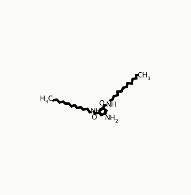 CCCCCCCCCCCCCCNC(=O)c1cc(N)cc(C(=O)NCCCCCCCCCCCCCC)c1